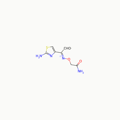 NC(=O)CO/N=C(\[C]=O)c1csc(N)n1